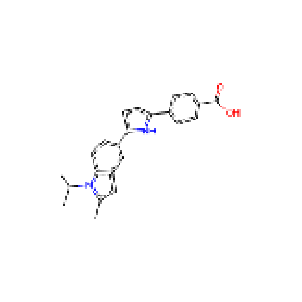 Cc1cc2cc(-c3ccc(-c4ccc(C(=O)O)cc4)[nH]3)ccc2n1C(C)C